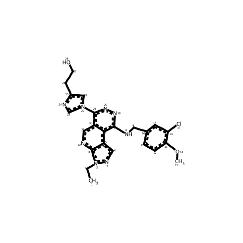 CCn1ncc2c3c(NCc4ccc(OC)c(Cl)c4)nnc(-n4cnc(CCO)c4)c3cnc21